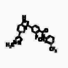 CN(C(=O)c1ccc(C2=CNC3C=CC(c4cnn(C)c4)=CN23)cc1F)c1cccc(C(F)(F)F)c1